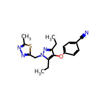 CCc1nn(Cc2nnc(C)s2)c(CC)c1Oc1ccc(C#N)cc1